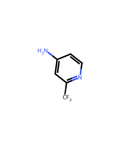 Nc1c[c]nc(C(F)(F)F)c1